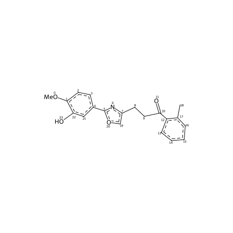 COc1ccc(-c2nc(CCC(=O)c3ccccc3C)co2)cc1O